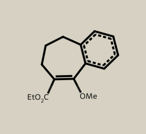 CCOC(=O)C1=C(OC)c2ccccc2CCC1